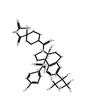 O=C1NC(=O)C2(CCC(C(=O)N3CC[C@@]4(S(=O)(=O)c5ccc(F)cc5)c5ccc(C(F)(C(F)(F)F)C(F)(F)F)cc5CC[C@@H]34)CC2)N1